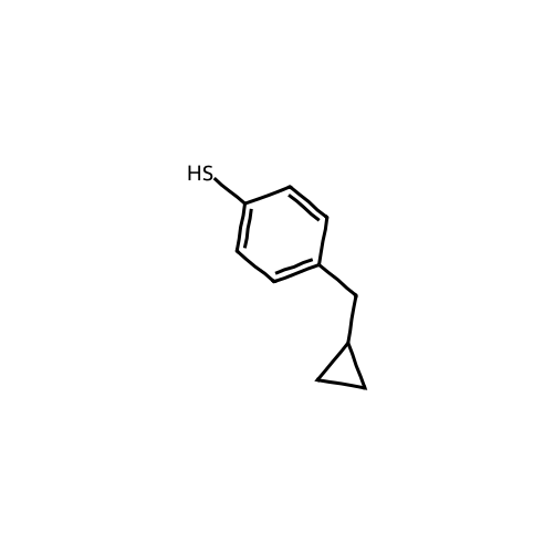 Sc1ccc(CC2CC2)cc1